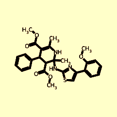 COC(=O)C1=C(C)NC(C)(Nc2nc(-c3ccccc3OC)cs2)C(C(=O)OC)C1c1ccccc1